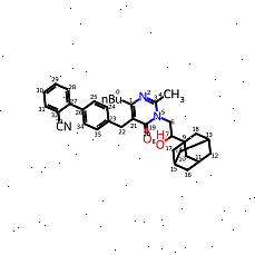 CCCCc1nc(C)n(CC(O)C23CC4CC(CC(C4)C2)C3)c(=O)c1Cc1ccc(-c2ccccc2C#N)cc1